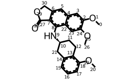 COc1cc2cc3c(c(N[C@H]4CCc5c(cccc5OC)C4)c2cc1OC)C(=O)OC3